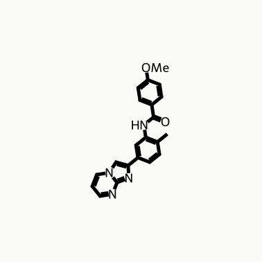 COc1ccc(C(=O)Nc2cc(-c3cn4cccnc4n3)ccc2C)cc1